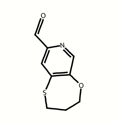 O=Cc1cc2c(cn1)OCCCS2